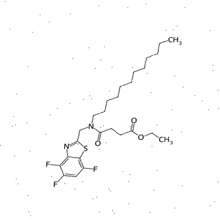 CCCCCCCCCCCCN(Cc1nc2c(F)c(F)cc(F)c2s1)C(=O)CCC(=O)OCC